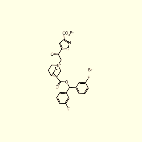 CCOC(=O)c1cc(C(=O)C[N+]23CCC(CC2)C(C(=O)OC(c2cccc(F)c2)c2cccc(F)c2)C3)on1.[Br-]